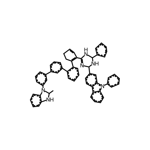 CC1Nc2ccccc2N1c1cccc(-c2cccc(-c3ccccc3C3=C(C4=NC(c5ccc6c7ccccc7n(-c7ccccc7)c6c5)NC(c5ccccc5)N4)C=CCC3)c2)c1